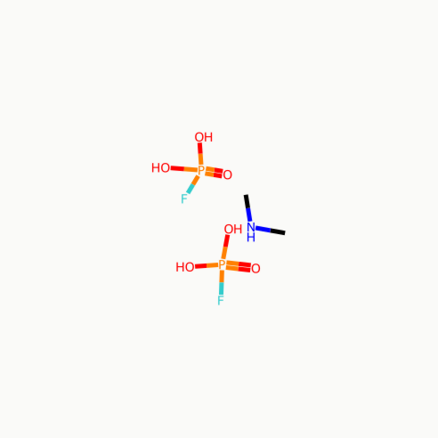 CNC.O=P(O)(O)F.O=P(O)(O)F